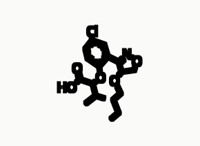 CCCCOC1CON=C1c1cc(Cl)ccc1OC(C(=O)O)C(C)C